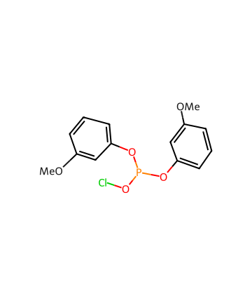 COc1cccc(OP(OCl)Oc2cccc(OC)c2)c1